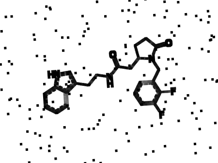 O=C(CC1CCC(=O)N1Cc1cccc(F)c1F)NCCc1c[nH]c2ccccc12